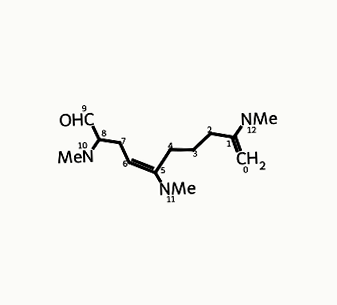 C=C(CCCC(=CCC(C=O)NC)NC)NC